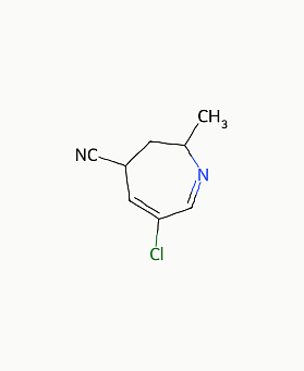 CC1CC(C#N)C=C(Cl)C=N1